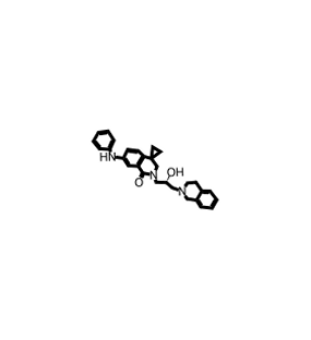 O=C1c2cc(Nc3ccccc3)ccc2C2(CC2)CN1C[C@H](O)CN1CCc2ccccc2C1